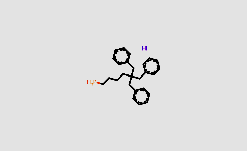 I.PCCCCC(Cc1ccccc1)(Cc1ccccc1)Cc1ccccc1